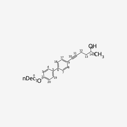 CCCCCCCCCCOc1ccc(-c2ccc(C#CCCC(C)O)cc2)cc1